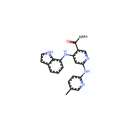 CNC(=O)c1cnc(Nc2ccc(C)cn2)cc1Nc1cccc2cc[nH]c12